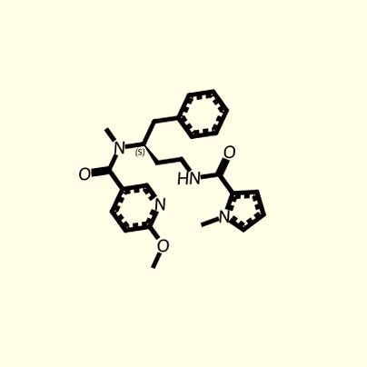 COc1ccc(C(=O)N(C)[C@H](CCNC(=O)c2cccn2C)Cc2ccccc2)cn1